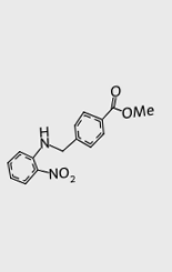 COC(=O)c1ccc(CNc2ccccc2[N+](=O)[O-])cc1